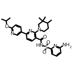 CC(C)Oc1ccc(-c2ccc(C(=O)NS(=O)(=O)c3cccc(N)n3)c(N3CCC(C)C(C)(C)C3)n2)cn1